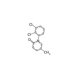 Cc1ccc(=O)n(-c2cccc(Cl)c2Cl)c1